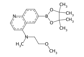 COCCN(C)c1ccnc2ccc(B3OC(C)(C)C(C)(C)O3)cc12